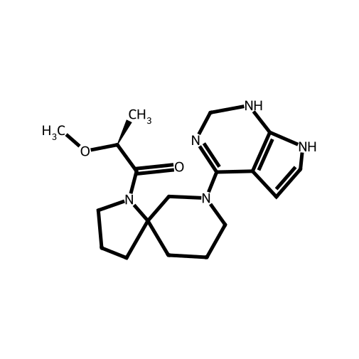 CO[C@@H](C)C(=O)N1CCCC12CCCN(C1=NCNc3[nH]ccc31)C2